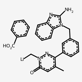 O=C(O)c1ccccc1.[Li][CH2]n1nc(-c2cccc(Cn3c(N)nc4ccccc43)c2)c(C)cc1=O